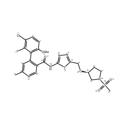 COc1ccc(Cl)c(F)c1-c1cc(C)ncc1C(=O)Nc1nnc(CO[C@H]2CCN(S(C)(=O)=O)C2)s1